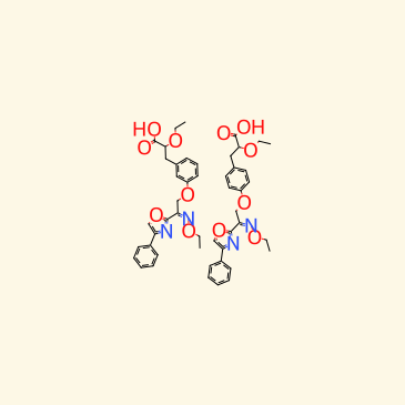 CCON=C(COc1ccc(CC(OCC)C(=O)O)cc1)c1nc(-c2ccccc2)co1.CCON=C(COc1cccc(CC(OCC)C(=O)O)c1)c1nc(-c2ccccc2)co1